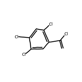 [CH]=C(Cl)c1cc(Cl)c(Cl)cc1Cl